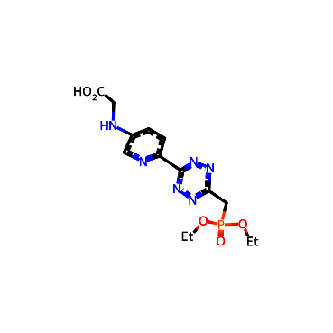 CCOP(=O)(Cc1nnc(-c2ccc(NCC(=O)O)cn2)nn1)OCC